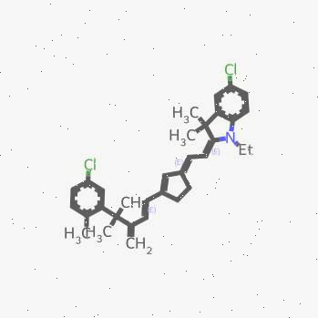 C=C(/C=C/C1=CC(=C/C=C2/N(CC)c3ccc(Cl)cc3C2(C)C)/CC1)C(C)(C)c1cc(Cl)ccc1C